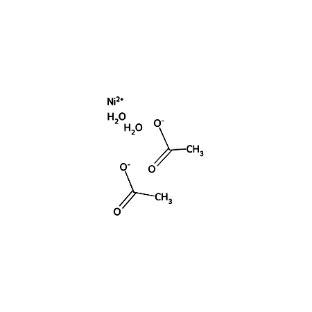 CC(=O)[O-].CC(=O)[O-].O.O.[Ni+2]